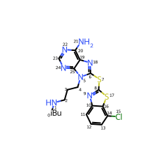 CCC(C)NCCCn1c(Sc2nc3cccc(Cl)c3s2)nc2c(N)ncnc21